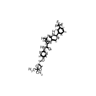 CC1(C)OC[C@@H](COc2cnc(NC(=O)C3C[C@H]4CN3C3=CN=C(c5cccc(C(F)(F)F)c5)NC3=N4)nc2)O1